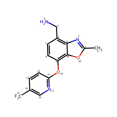 Cc1nc2c(CN)ccc(Oc3ccc(C(F)(F)F)cn3)c2o1